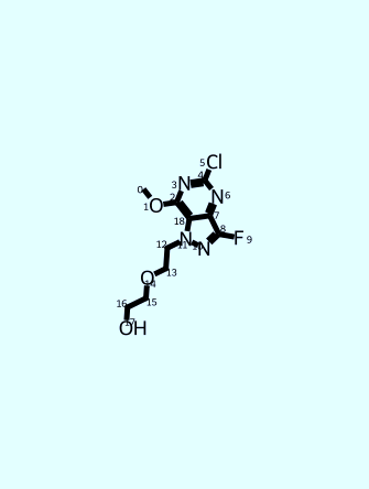 COc1nc(Cl)nc2c(F)nn(CCOCCO)c12